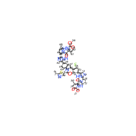 CCc1ncc(C2Oc3cc(-c4cnc(C5CCCN5C(=O)[C@@H](NC(=O)OC)C(C)C)[nH]4)cc(F)c3-c3cc4cc(-c5cnc([C@@H]6CC7CC7N6C(=O)C(NC(=O)OC)C(C)C)[nH]5)ccc4n32)s1